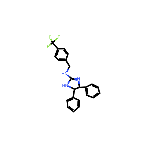 FC(F)(F)c1ccc(CNC2=NC(c3ccccc3)C(c3ccccc3)N2)cc1